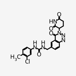 Cc1ccc(NC(=O)NCc2ccc3nnn(C4CCC(=O)NC4=O)c(=O)c3c2)cc1Cl